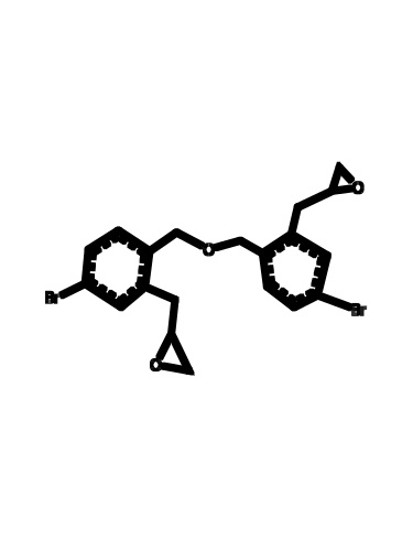 Brc1ccc(COCc2ccc(Br)cc2CC2CO2)c(CC2CO2)c1